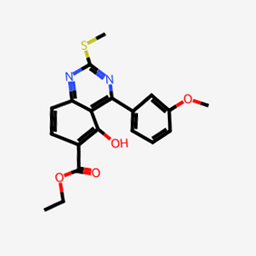 CCOC(=O)c1ccc2nc(SC)nc(-c3cccc(OC)c3)c2c1O